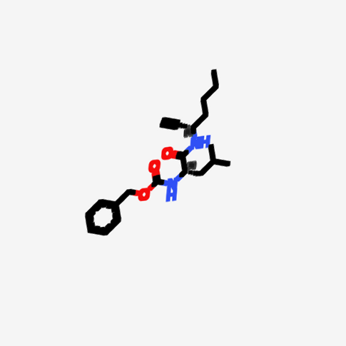 C#C[C@H](CCCC)NC(=O)[C@H](CC(C)C)NC(=O)OCc1ccccc1